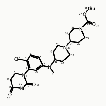 CN(c1ccc(Cl)c(N2CCC(=O)NC2=O)c1)C1CCN(C2CCN(C(=O)OC(C)(C)C)CC2)CC1